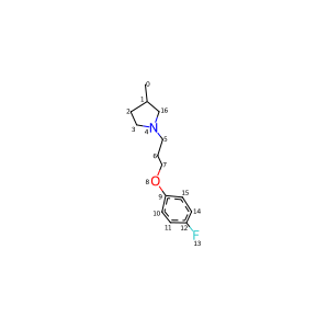 CC1CCN(CCCOc2ccc(F)cc2)C1